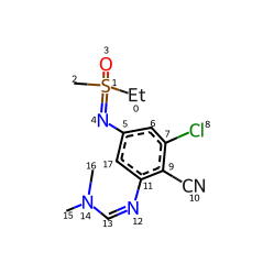 CCS(C)(=O)=Nc1cc(Cl)c(C#N)c(/N=C\N(C)C)c1